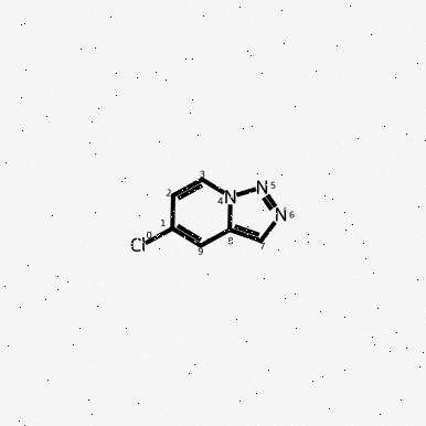 Clc1ccn2nncc2c1